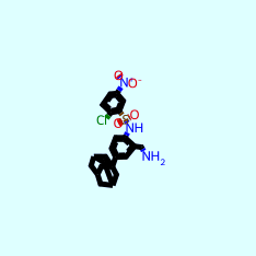 NCc1cc(C23CC4CC(CC(C4)C2)C3)ccc1NS(=O)(=O)c1cc([N+](=O)[O-])ccc1Cl